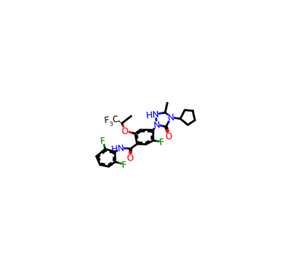 CC1NN(c2cc(O[C@@H](C)C(F)(F)F)c(C(=O)Nc3c(F)cccc3F)cc2F)C(=O)N1C1CCCC1